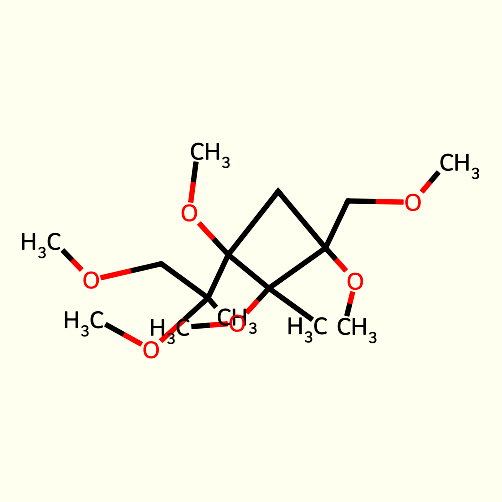 COCC(C)(OC)C1(OC)CC(COC)(OC)C1(C)OC